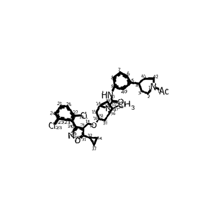 CC(=O)N1CCC(c2cccc(NC(=O)N3C4C[C@H](OCc5c(-c6c(Cl)cccc6Cl)noc5C5CC5)CC3[C@H](C)C4)c2)CC1